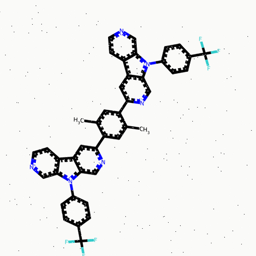 Cc1cc(-c2cc3c4ccncc4n(-c4ccc(C(F)(F)F)cc4)c3cn2)c(C)cc1-c1cc2c3ccncc3n(-c3ccc(C(F)(F)F)cc3)c2cn1